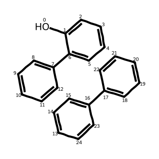 Oc1ccccc1-c1ccccc1.c1ccc(-c2ccccc2)cc1